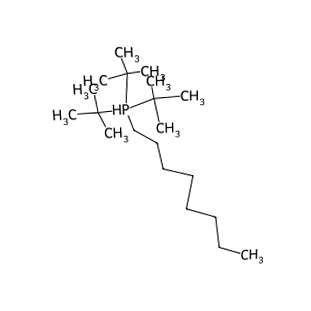 CCCCCCCC[PH](C(C)(C)C)(C(C)(C)C)C(C)(C)C